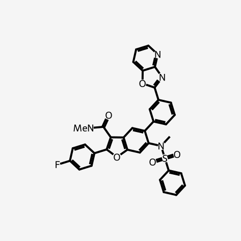 CNC(=O)c1c(-c2ccc(F)cc2)oc2cc(N(C)S(=O)(=O)c3ccccc3)c(-c3cccc(-c4nc5ncccc5o4)c3)cc12